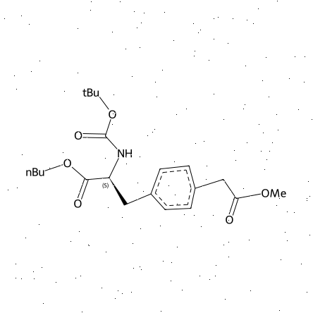 CCCCOC(=O)[C@H](Cc1ccc(CC(=O)OC)cc1)NC(=O)OC(C)(C)C